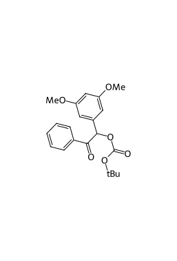 COc1cc(OC)cc(C(OC(=O)OC(C)(C)C)C(=O)c2ccccc2)c1